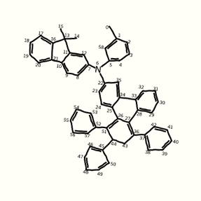 Cc1cccc(N(c2ccc3c(c2)C(C)(C)c2ccccc2-3)c2ccc3c4c(c5ccccc5c3c2)=C(c2ccccc2)CC(c2ccccc2)C=4c2ccccc2)c1